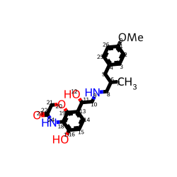 COc1ccc(CC(C)CNCC(O)c2ccc(O)c3c2OCC(=O)N3)cc1